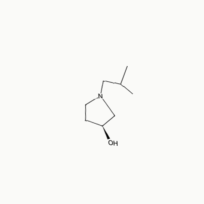 CC(C)CN1CC[C@H](O)C1